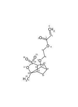 C=CC(=O)OCCOC1C2CC3C(C2)S(=O)(=O)OC31C